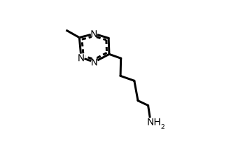 Cc1ncc(CCCCCN)nn1